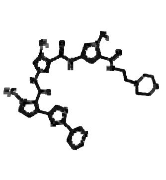 Cn1cc(NC(=O)c2cc(NC(=O)c3c(-c4csc(-c5cccnc5)n4)ccn3C)cn2C)cc1C(=O)NCCN1CCOCC1